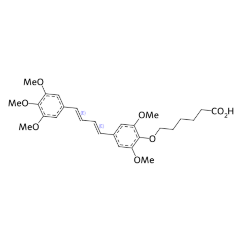 COc1cc(/C=C/C=C/c2cc(OC)c(OCCCCCC(=O)O)c(OC)c2)cc(OC)c1OC